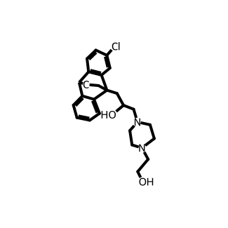 OCCN1CCN(CC(O)CC23CCC(c4ccccc42)c2ccc(Cl)cc23)CC1